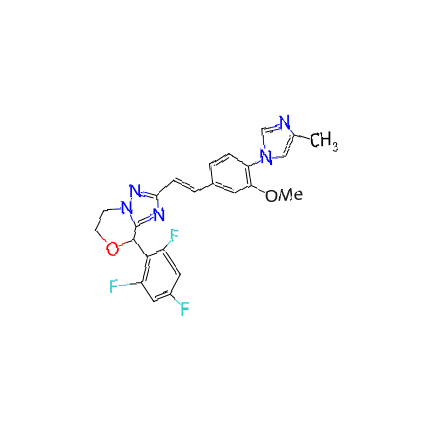 COc1cc(/C=C/c2nc3n(n2)CCOC3c2c(F)cc(F)cc2F)ccc1-n1cnc(C)c1